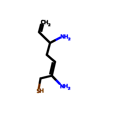 C=CC(N)C/C=C(/N)CS